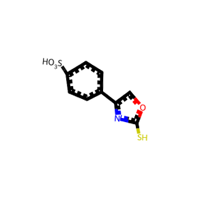 O=S(=O)(O)c1ccc(-c2coc(S)n2)cc1